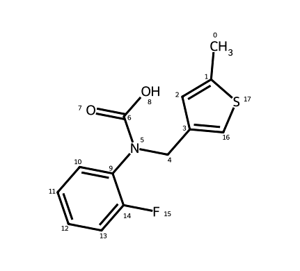 Cc1cc(CN(C(=O)O)c2ccccc2F)cs1